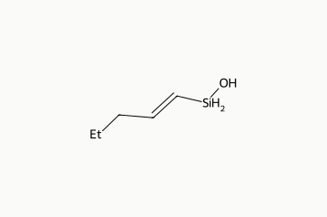 CCCC=C[SiH2]O